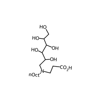 CCCCCCCCN(CCC(=O)O)CC(O)C(O)C(O)C(O)CO